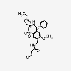 CCCC[C@]1(CC)CS(=O)(=O)c2cc(CNC(=O)CCCl)c(OC)cc2[C@@H](c2ccccc2)N1